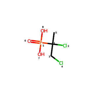 CC(Cl)(CCl)P(=O)(O)O